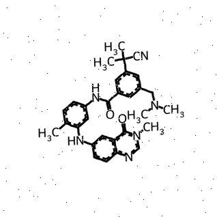 Cc1ccc(NC(=O)c2cc(CN(C)C)cc(C(C)(C)C#N)c2)cc1Nc1ccc2ncn(C)c(=O)c2c1